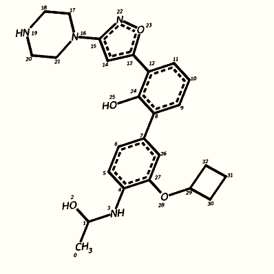 CC(O)Nc1ccc(-c2cccc(-c3cc(N4CCNCC4)no3)c2O)cc1OC1CCC1